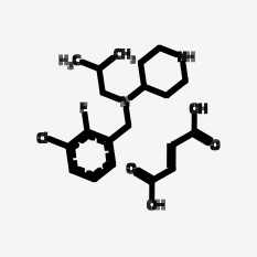 CC(C)CN(Cc1cccc(Cl)c1F)C1CCNCC1.O=C(O)C=CC(=O)O